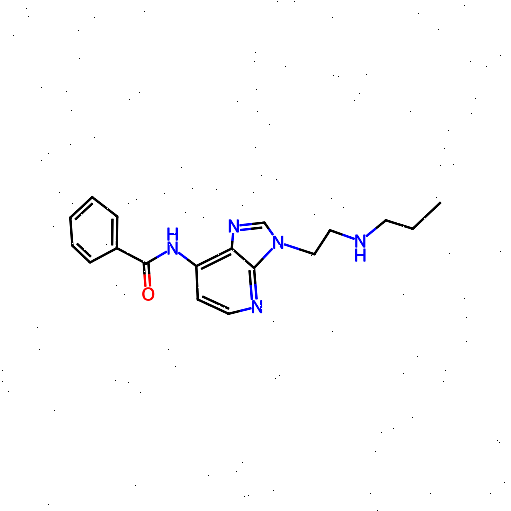 CCCNCCn1cnc2c(NC(=O)c3ccccc3)ccnc21